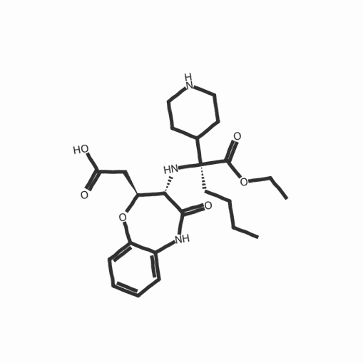 CCCC[C@@](N[C@@H]1C(=O)Nc2ccccc2O[C@H]1CC(=O)O)(C(=O)OCC)C1CCNCC1